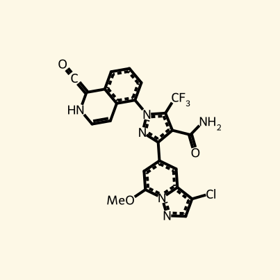 COc1cc(-c2nn(-c3cccc4c3C=CNC4=C=O)c(C(F)(F)F)c2C(N)=O)cc2c(Cl)cnn12